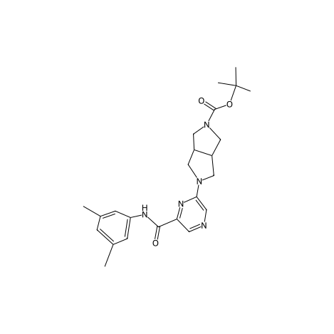 Cc1cc(C)cc(NC(=O)c2cncc(N3CC4CN(C(=O)OC(C)(C)C)CC4C3)n2)c1